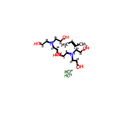 CC=CC.Cl.Cl.OCCN(CCO)CCO.OCCN(CCO)CCO